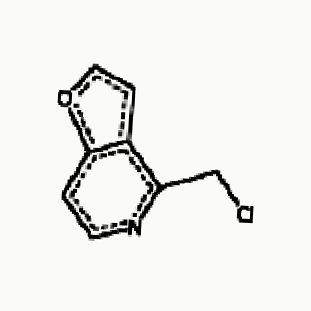 ClCc1nccc2occc12